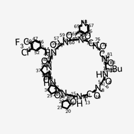 CC[C@H](C)[C@@H]1NC(=O)[C@H](C)N(C)C(=O)C[C@@H](C)NC(=O)[C@H](C2CCCC2)N(C)C(=O)C2(CCCC2)NC(=O)[C@@H]2CCCN2C(=O)[C@H](CCc2ccc(C(F)(F)F)c(Cl)c2)NC(=O)[C@@H](C)N(C)C(=O)[C@H](Cc2cccnc2)N(C)C(=O)CN(C)C(=O)CN(C)C1=O